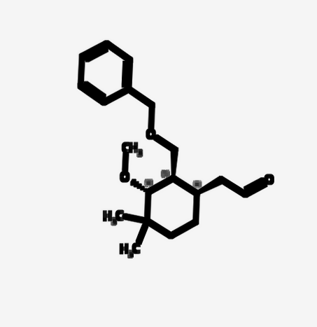 CO[C@@H]1[C@@H](COCc2ccccc2)[C@@H](CC=O)CCC1(C)C